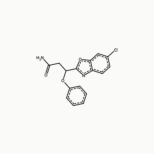 NC(=O)CC(Oc1ccccc1)c1nc2ccc(Cl)cc2o1